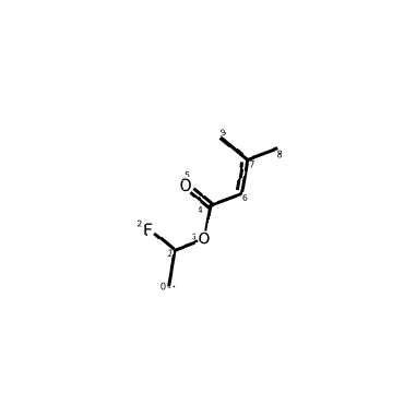 [CH2]C(F)OC(=O)C=C(C)C